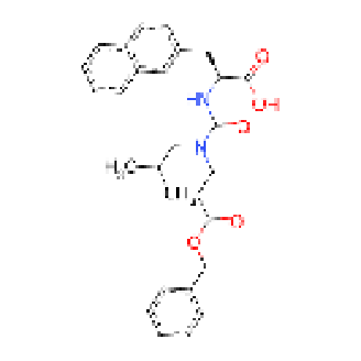 CC(C)CN(CCC(=O)OCc1ccccc1)C(=O)N[C@@H](Cc1ccc2ccccc2c1)C(=O)O